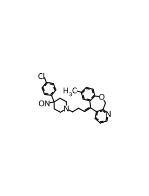 Cc1ccc2c(c1)C(=CCCN1CCC(N=O)(c3ccc(Cl)cc3)CC1)c1cccnc1CO2